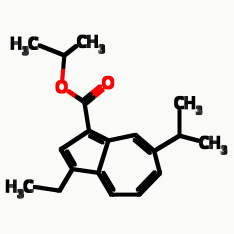 CCc1cc(C(=O)OC(C)C)c2cc(C(C)C)cccc1-2